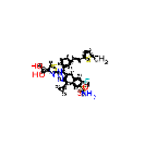 Cc1ccc(C#Cc2cccc(-c3c(Cc4ccc(S(N)(=O)=O)c(F)c4)c(CC4CC4)nn3-c3nc(B(O)O)cs3)c2)s1